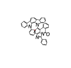 O=c1c2ccccc2c2c(-n3c4ccccc4c4ccc5c6ccccc6n(-c6ccccc6)c5c43)ccc3nc(-c4ccccc4)n1c32